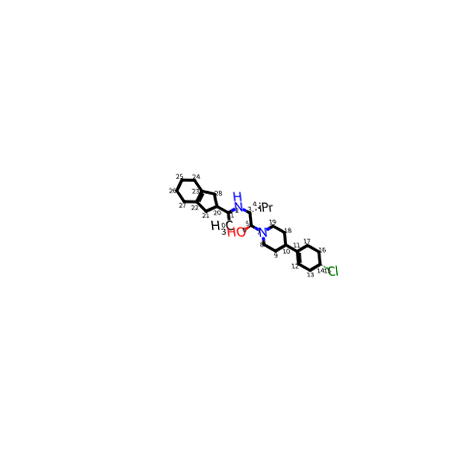 CC(N[C@H](C(C)C)[C@H](O)N1CCC(C2=CC[C@@H](Cl)CC2)CC1)C1CC2=C(CCCC2)C1